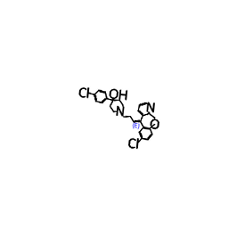 OC1(c2ccc(Cl)cc2)CCN(CC/C=C2/c3cc(Cl)ccc3OCc3ncccc32)CC1